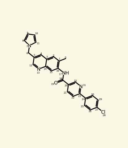 Cc1cc2cc(Cn3cccc3)cnc2cc1NC(=O)c1ccc(-c2ccc(Cl)cc2)nc1